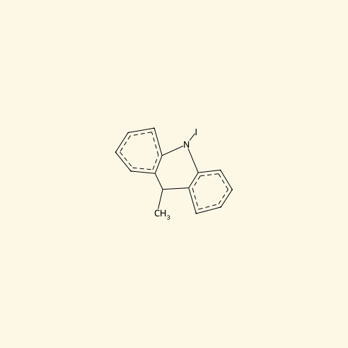 CC1c2ccccc2N(I)c2ccccc21